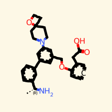 C[C@@H](N)c1cccc(-c2cc(COc3ccccc3CC(=O)O)cc(N3CCC4(CCO4)CC3)c2)c1